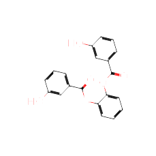 O=C(Oc1ccccc1OC(=O)c1cccc(O)c1)c1cccc(O)c1